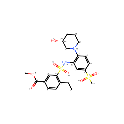 CCc1ccc(C(=O)OC)cc1S(=O)(=O)Nc1cc(S(C)(=O)=O)ccc1N1CCC[C@@H](O)C1